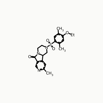 CCOc1cc(C)c(S(=O)(=O)N2CCN3C(=O)c4cnc(C)cc4C3C2)cc1C